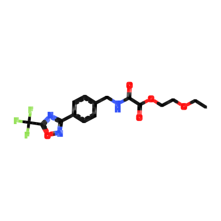 CCOCCOC(=O)C(=O)NCc1ccc(-c2noc(C(F)(F)F)n2)cc1